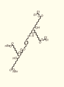 CCCCOC(=O)CCCCCCC(O)CN(CCCC(=O)OCCN1CCN(CCSSCCCN(CC(O)CCCCCCC(=O)OCC(CC)CC)CC(O)CCCCCCC(=O)OCC(CC)CC)CC1)CC(O)CCCCCCC(=O)OCCCC